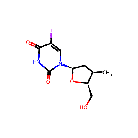 C[C@@H]1C[C@H](n2cc(I)c(=O)[nH]c2=O)O[C@@H]1CO